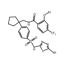 CCOc1cc(C(F)(F)F)ccc1C(=O)NCC1(c2ccc(S(=O)(=O)Nc3nnc(C(C)C)s3)cc2)CCCC1